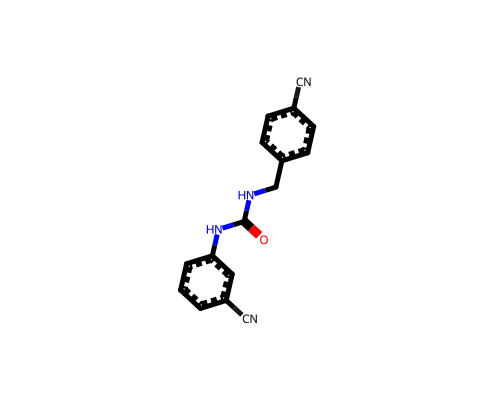 N#Cc1ccc(CNC(=O)Nc2cccc(C#N)c2)cc1